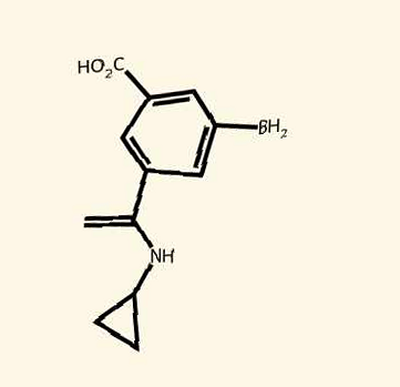 Bc1cc(C(=C)NC2CC2)cc(C(=O)O)c1